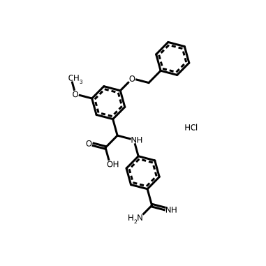 COc1cc(OCc2ccccc2)cc(C(Nc2ccc(C(=N)N)cc2)C(=O)O)c1.Cl